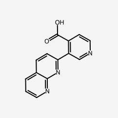 O=C(O)c1ccncc1-c1ccc2cccnc2n1